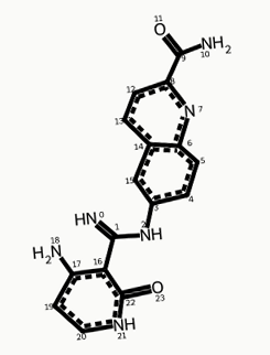 N=C(Nc1ccc2nc(C(N)=O)ccc2c1)c1c(N)cc[nH]c1=O